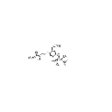 COCc1ccc([C@@H](C)N(C(=O)[C@H]2CNCCO2)C2CC2)cc1CCCNC(=O)OC